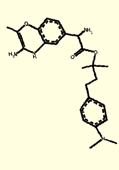 CC1=C(N)Nc2cc(C(N)C(=O)OC(C)(C)CCc3ccc(N(C)C)cc3)ccc2O1